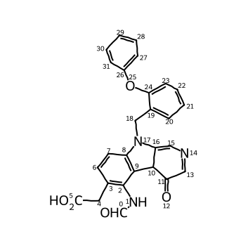 O=CNc1c(CC(=O)O)ccc2c1C1C(=O)C=NC=C1N2Cc1ccccc1Oc1ccccc1